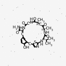 CC(C)[C@@H]1Nc2ncc(s2)Cc2cc(ccc2O)C[C@@H](C(N)=O)NC(=O)CNC(=O)[C@H](C)CC(=O)[C@H](C)NC1=O